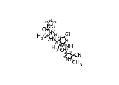 Cc1ncc(C(=O)Nc2cc(Cl)cc(CN3CCN(C(=O)N4CCCC4)C(C)C3)c2C)cc1C#N